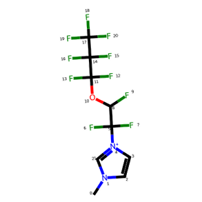 Cn1cc[n+](C(F)(F)C(F)OC(F)(F)C(F)(F)C(F)(F)F)c1